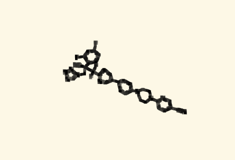 N#Cc1ccc(N2CCN(c3ccc(-c4ccc(C(F)(F)[C@](O)(Cn5cnnn5)c5ccc(F)cc5F)nc4)cc3)CC2)nc1